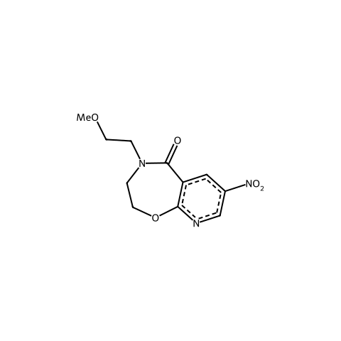 COCCN1CCOc2ncc([N+](=O)[O-])cc2C1=O